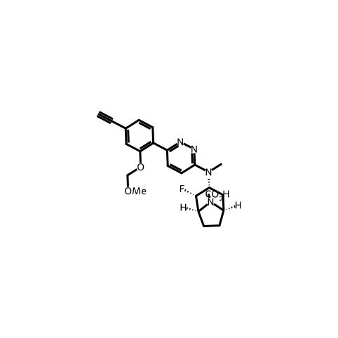 C#Cc1ccc(-c2ccc(N(C)[C@@H]3C[C@H]4CC[C@@H]([C@@H]3F)N4C(=O)O)nn2)c(OCOC)c1